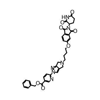 O=C1CCC(N2C(=O)c3ccc(OCCCCN4Cc5cn(-c6ccc(C(=O)OCc7ccccc7)cn6)nc5C4)cc3C2=O)C(=O)N1